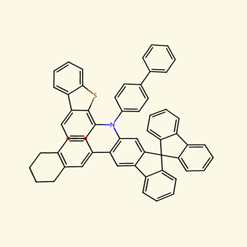 c1ccc(-c2ccc(N(c3cc4c(cc3-c3ccc5c(c3)CCCC5)-c3ccccc3C43c4ccccc4-c4ccccc43)c3cccc4c3sc3ccccc34)cc2)cc1